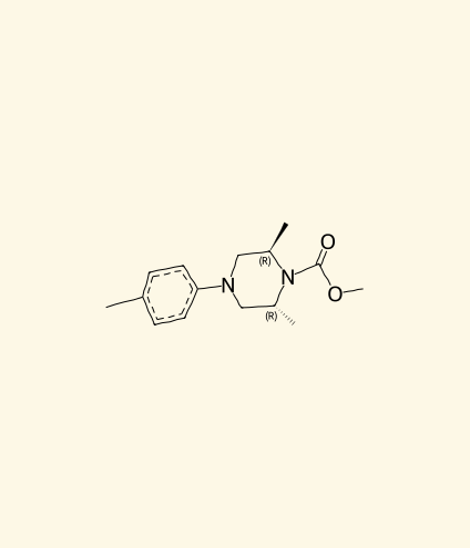 COC(=O)N1[C@H](C)CN(c2ccc(C)cc2)C[C@H]1C